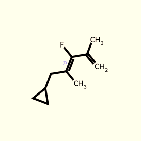 C=C(C)/C(F)=C(\C)CC1CC1